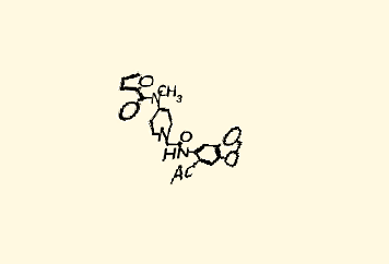 CC(=O)c1cc2c(cc1NC(=O)CN1CCC(N(C)C(=O)c3ccco3)CC1)OCO2